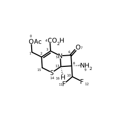 CC(=O)OCC1=C(C(=O)O)N2C(=O)[C@@](N)(C(F)F)[C@H]2SC1